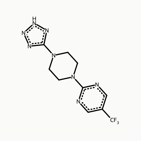 FC(F)(F)c1cnc(N2CCN(c3nn[nH]n3)CC2)nc1